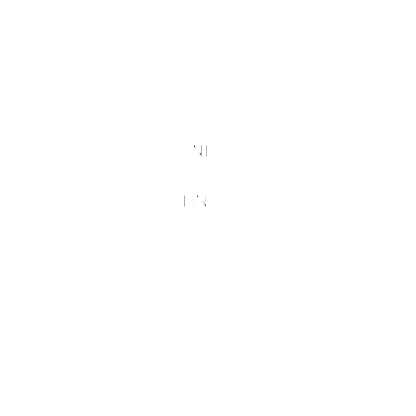 CNCCNCCCC(C)C